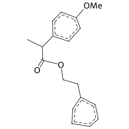 COc1ccc(C(C)C(=O)OCCc2ccccc2)cc1